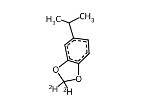 [2H]C1([2H])Oc2ccc(C(C)C)cc2O1